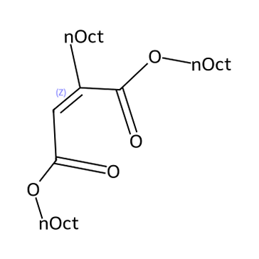 CCCCCCCCOC(=O)/C=C(/CCCCCCCC)C(=O)OCCCCCCCC